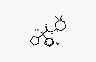 C[N+]1(C)CCC[C@@H](OC(=O)[C@](O)(c2cccs2)C2CCCC2)C1.[Br-]